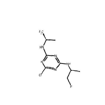 CC(CF)Nc1nc(Cl)nc(N[C@H](C)C(F)(F)F)n1